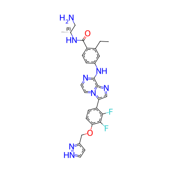 CCc1cc(Nc2nccn3c(-c4ccc(OCc5cc[nH]n5)c(F)c4F)cnc23)ccc1C(=O)N[C@H](C)CN